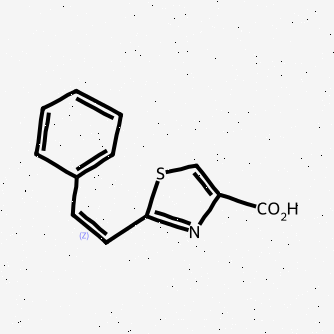 O=C(O)c1csc(/C=C\c2ccccc2)n1